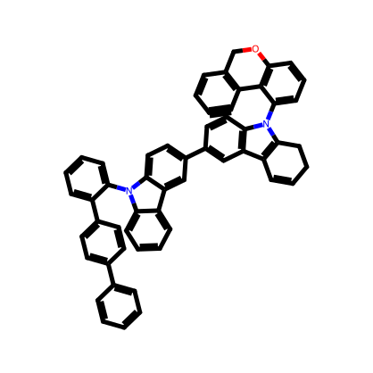 c1ccc2c(c#1)-c1c(cccc1-n1c3c(c4cc(-c5ccc6c(c5)c5ccccc5n6-c5ccccc5-c5ccc(-c6ccccc6)cc5)ccc41)C=CCC3)OC2